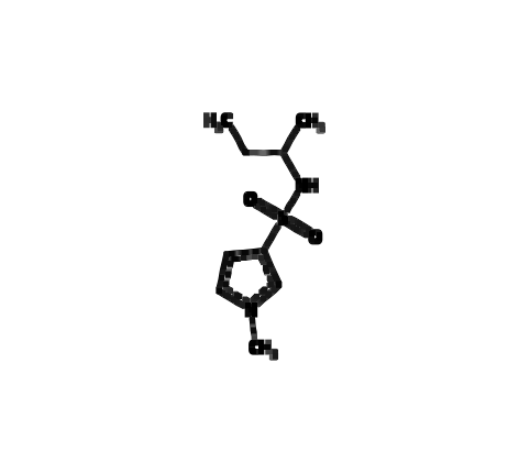 CCC(C)NS(=O)(=O)c1ccn(C)c1